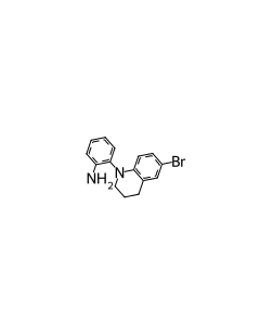 Nc1ccccc1N1CCCc2cc(Br)ccc21